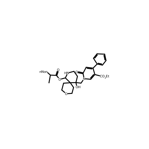 CCCCCCCCCC(C)C(=O)OC1NCCC(O)(Cn2cc(C(=O)OCC)c(-c3ccccc3)cc2=O)C12CCOCC2